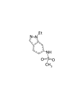 CCn1ncc2ccc(NS(C)(=O)=O)cc21